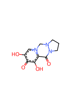 O=C1c2c(O)c(=O)c(O)cn2CN2CCCN12